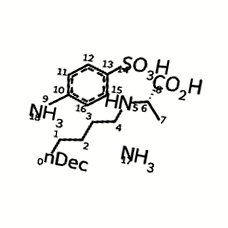 CCCCCCCCCCCCCCN[C@@H](C)C(=O)O.Cc1ccc(S(=O)(=O)O)cc1.N.N